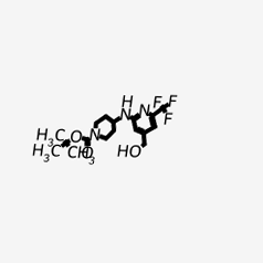 CC(C)(C)OC(=O)N1CCC(Nc2cc(CO)cc(C(F)(F)F)n2)CC1